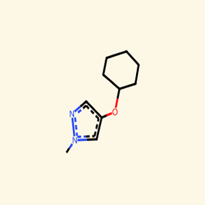 Cn1cc(OC2CCCCC2)cn1